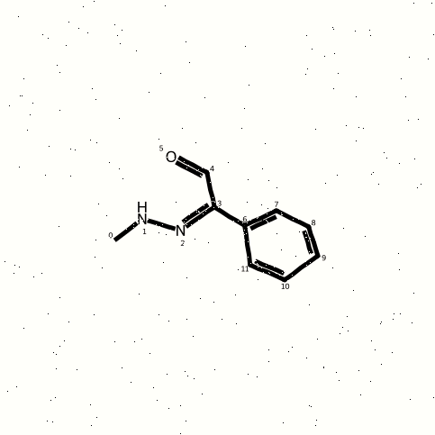 CNN=C(C=O)c1ccccc1